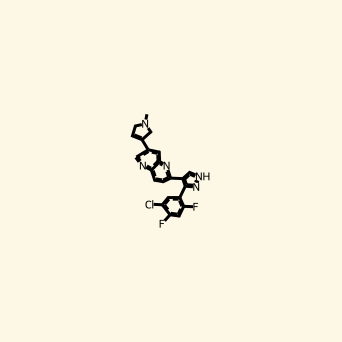 CN1CC=C(c2cnc3ccc(-c4c[nH]nc4-c4cc(Cl)c(F)cc4F)nc3c2)C1